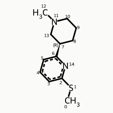 CSc1cccc([C@@H]2CCCN(C)C2)n1